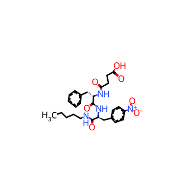 CCCCCNC(=O)[C@H](Cc1ccc([N+](=O)[O-])cc1)NC(=O)[C@H](Cc1ccccc1)NC(=O)CCC(=O)O